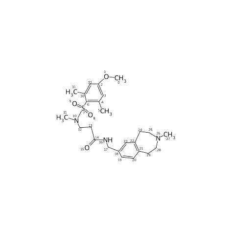 COc1cc(C)c(S(=O)(=O)N(C)CCC(=O)NCc2ccc3c(c2)CCN(C)CC3)c(C)c1